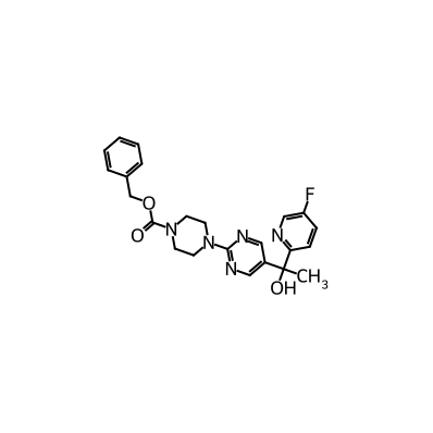 CC(O)(c1cnc(N2CCN(C(=O)OCc3ccccc3)CC2)nc1)c1ccc(F)cn1